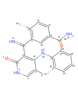 Cc1c[nH]c(=O)c(C(=N)c2cc(C(N)=O)ccc2F)c1Nc1c(F)cccc1F